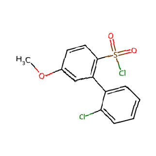 COc1ccc(S(=O)(=O)Cl)c(-c2ccccc2Cl)c1